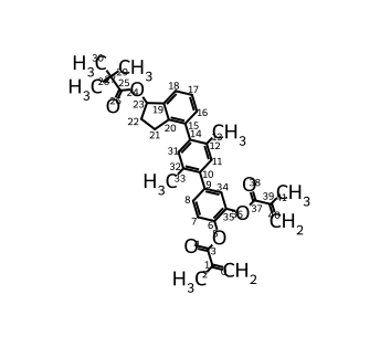 C=C(C)C(=O)Oc1ccc(-c2cc(C)c(-c3cccc4c3CCC4OC(=O)C(C)(C)C)cc2C)cc1OC(=O)C(=C)C